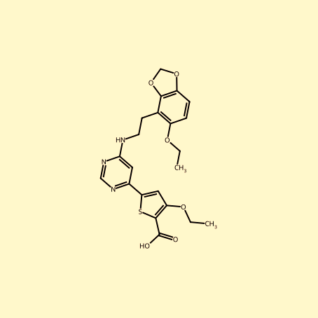 CCOc1cc(-c2cc(NCCc3c(OCC)ccc4c3OCO4)ncn2)sc1C(=O)O